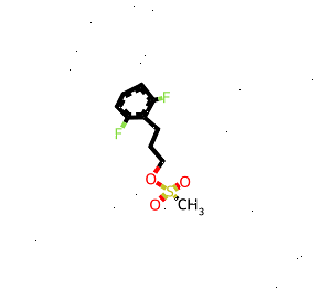 CS(=O)(=O)OCCCc1c(F)cccc1F